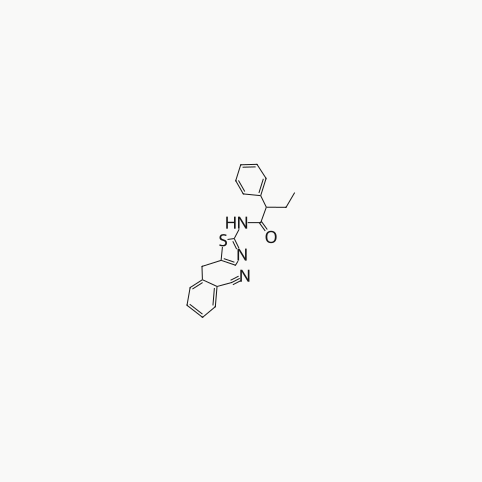 CCC(C(=O)Nc1ncc(Cc2ccccc2C#N)s1)c1ccccc1